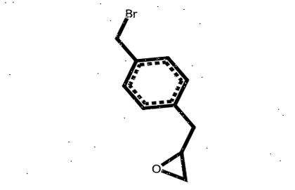 BrCc1ccc(CC2CO2)cc1